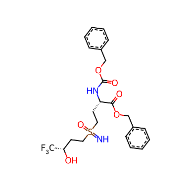 N=S(=O)(CC[C@H](NC(=O)OCc1ccccc1)C(=O)OCc1ccccc1)CC[C@H](O)C(F)(F)F